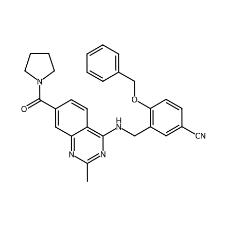 Cc1nc(NCc2cc(C#N)ccc2OCc2ccccc2)c2ccc(C(=O)N3CCCC3)cc2n1